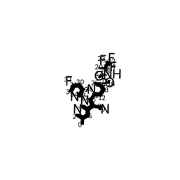 Cc1cnc2c(c1)c(C#N)c(-c1ccc(S(=O)(=O)N[C@@H](C)C(F)(F)F)cn1)n2-c1ccc(F)cn1